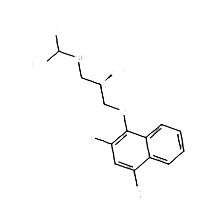 CC(C)NC[C@@H](O)COc1c(Br)cc(Br)c2ccccc12